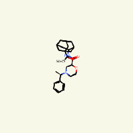 COC(=O)C12CC3CC(C1)C(NC(=O)C1CN([C@H](C)c4ccccc4)CCO1)C(C3)C2